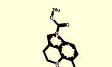 COc1ccc2c3c(cn2C(=O)OC(C)(C)C)CCNc13